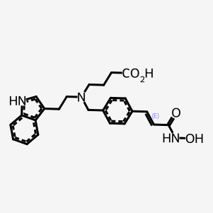 O=C(O)CCCN(CCc1c[nH]c2ccccc12)Cc1ccc(/C=C/C(=O)NO)cc1